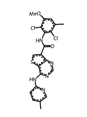 COc1cc(C)c(Cl)c(NC(=O)c2csc3c(Nc4ccc(C)cn4)ncnc23)c1Cl